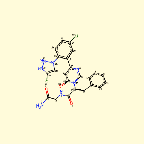 NC(=O)CNC(=O)[C@H](Cc1ccccc1)n1cnc(-c2cc(Cl)ccc2N2C=C(Cl)NN2)cc1=O